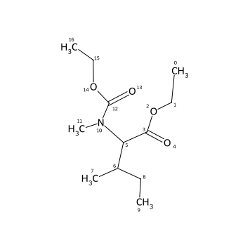 CCOC(=O)C(C(C)CC)N(C)C(=O)OCC